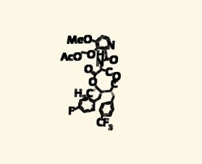 COc1ccnc(C(=O)N[C@H]2COC[C@H](Cc3ccc(C(F)(F)F)cc3)[C@@H](Cc3ccc(F)cc3)[C@H](C)OC2=O)c1OCOC(C)=O